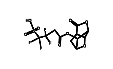 O=C(CC(F)(F)C(F)(F)S(=O)(=O)O)OC1C2CC3C(=O)OC1C3O2